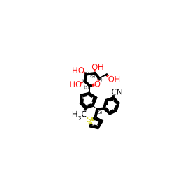 Cc1ccc([C@@H]2O[C@H](CO)[C@@H](O)[C@H](O)[C@H]2O)cc1[C@H](c1cccc(C#N)c1)c1cccs1